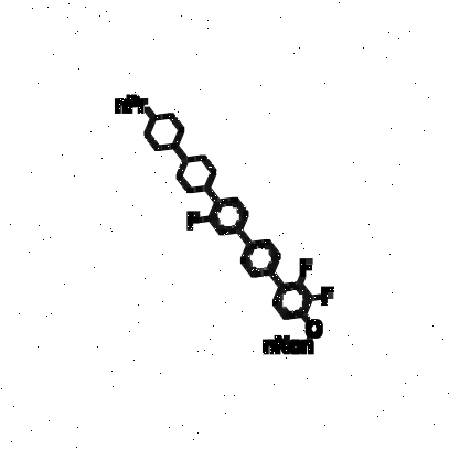 CCCCCCCCCOc1ccc(-c2ccc(-c3ccc(C4CCC(C5CCC(CCC)CC5)CC4)c(F)c3)cc2)c(F)c1F